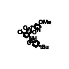 COc1cncc(CN2C(=O)c3c(Cl)ccc(N[S+]([O-])c4ccc(C(C)(C)C)cc4)c3C2=O)c1